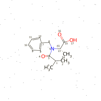 CC(C)C(=O)N(Cc1ccccc1)[C@@H](C)C(=O)O